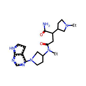 CCN1CCC(C(CC(=O)N(CC)C2CCN(c3ncnc4[nH]ccc34)C2)C(N)=O)C1